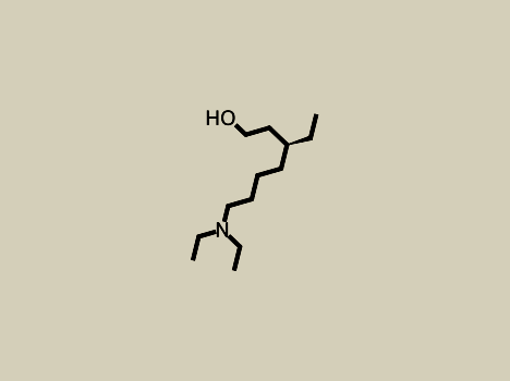 CC[C@H](CCO)CCCCN(CC)CC